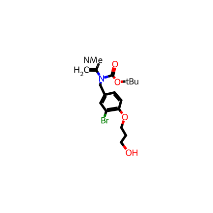 C=C(NC)N(Cc1ccc(OCCCO)c(Br)c1)C(=O)OC(C)(C)C